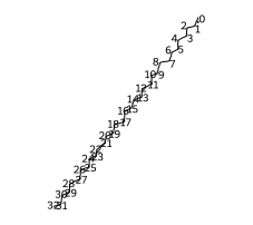 [CH2]CCCCCCCCCCCCCCCCCCCCCCCCCCCCCCCC